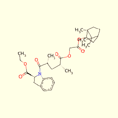 CCOC(=O)[C@@H]1Cc2ccccc2N1C(=O)[C@H](C)C[C@@H](C)C(=O)OCC(=O)OC1CC2CCC1(C)C2(C)C